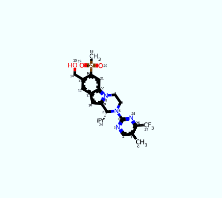 Cc1cnc(N2CCn3c(cc4cc(CO)c(S(C)(=O)=O)cc43)[C@H]2C(C)C)nc1C(F)(F)F